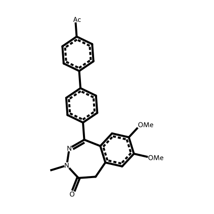 COc1cc2c(cc1OC)C(c1ccc(-c3ccc(C(C)=O)cc3)cc1)=NN(C)C(=O)C2